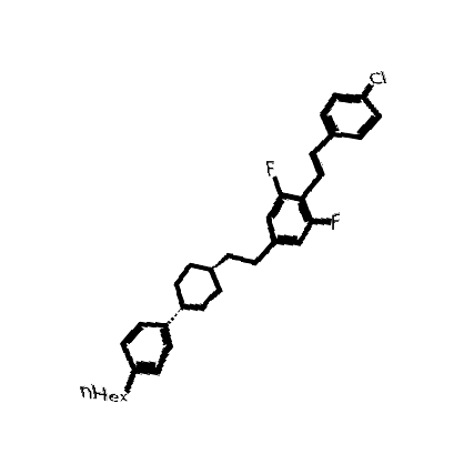 CCCCCCc1ccc([C@H]2CC[C@H](CCc3cc(F)c(CCc4ccc(Cl)cc4)c(F)c3)CC2)cc1